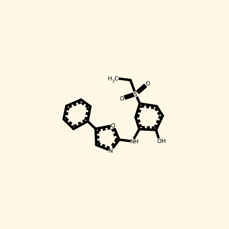 CCS(=O)(=O)c1ccc(O)c(Nc2ncc(-c3ccccc3)o2)c1